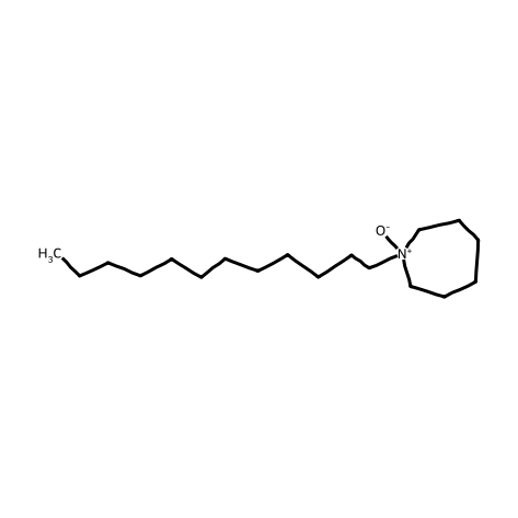 CCCCCCCCCCCC[N+]1([O-])CCCCCC1